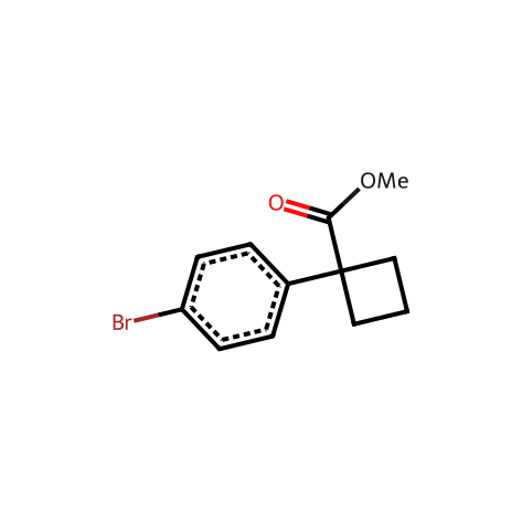 COC(=O)C1(c2ccc(Br)cc2)CCC1